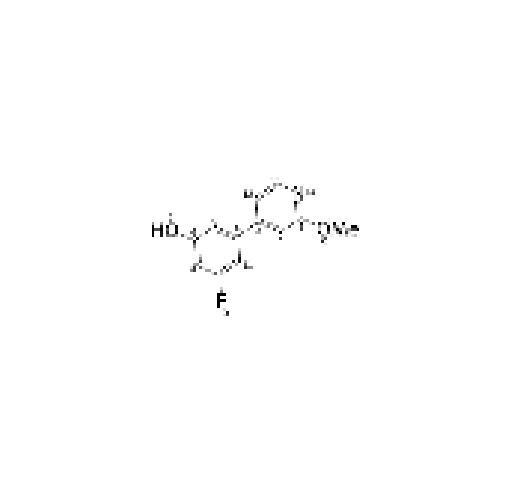 COc1cc(-c2cc(O)cc(F)c2)ccn1